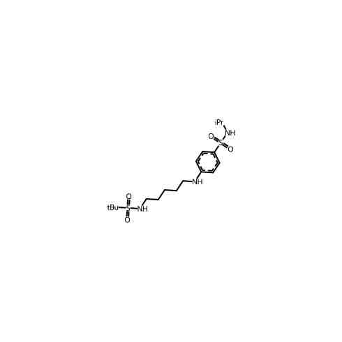 CC(C)NS(=O)(=O)c1ccc(NCCCCCNS(=O)(=O)C(C)(C)C)cc1